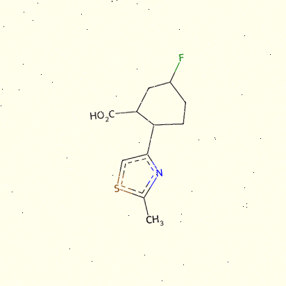 Cc1nc(C2CCC(F)CC2C(=O)O)cs1